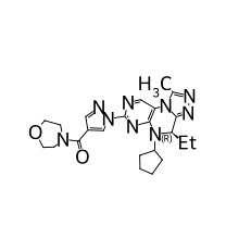 CC[C@@H]1c2nnc(C)n2-c2cnc(-n3cc(C(=O)N4CCOCC4)cn3)nc2N1C1CCCC1